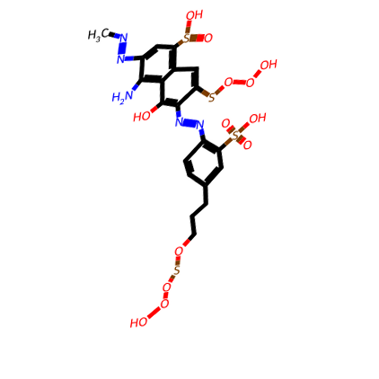 C/N=N/c1cc(S(=O)O)c2cc(SOOO)c(/N=N/c3ccc(CCCOSOOO)cc3S(=O)(=O)O)c(O)c2c1N